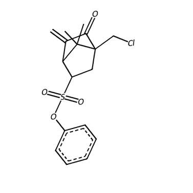 C=C1C(=O)C2(CCl)CC(S(=O)(=O)Oc3ccccc3)C1C2(C)C